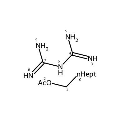 CCCCCCCCOC(C)=O.N=C(N)NC(=N)N